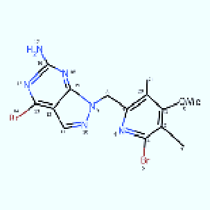 COc1c(C)c(Br)nc(Cn2ncc3c(Br)nc(N)nc32)c1C